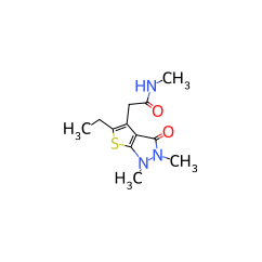 CCc1sc2c(c1CC(=O)NC)c(=O)n(C)n2C